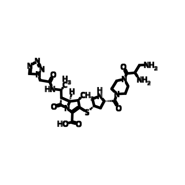 C[C@@H](NC(=O)Cn1cnnn1)[C@H]1C(=O)N2C(C(=O)O)=C(S[C@@H]3CN[C@H](C(=O)N4CCN(C(=O)C(N)CN)CC4)C3)[C@H](C)[C@H]12